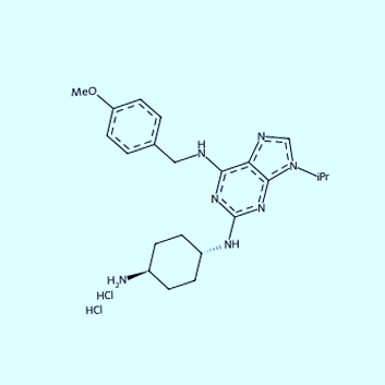 COc1ccc(CNc2nc(N[C@H]3CC[C@H](N)CC3)nc3c2ncn3C(C)C)cc1.Cl.Cl